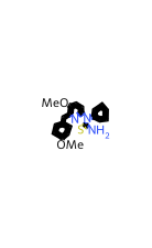 COc1ccc(Cc2nc(N(C(N)=S)c3ccccc3)ccc2OC)cc1